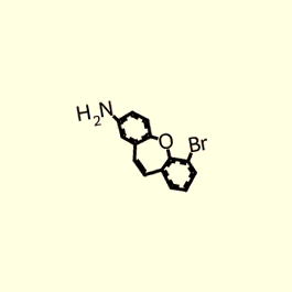 Nc1ccc2c(c1)C=Cc1cccc(Br)c1O2